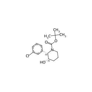 CC(C)(C)OC(=O)N1CCC[C@H](O)[C@@H]1c1cccc(Cl)c1